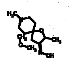 CC1OC2(CCN(C)CC2)C/C1=N/O.COC